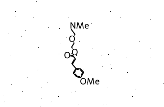 CNCCOCCOC(=O)/C=C/c1ccc(OC)cc1